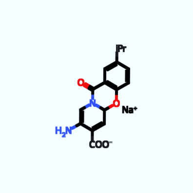 CC(C)c1ccc2c(c1)C(=O)N1C=C(N)C(C(=O)[O-])=CC1O2.[Na+]